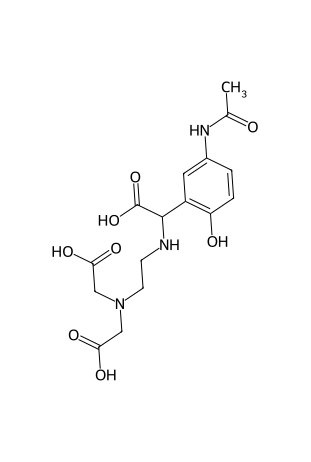 CC(=O)Nc1ccc(O)c(C(NCCN(CC(=O)O)CC(=O)O)C(=O)O)c1